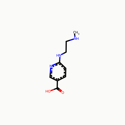 CNCCNc1ccc(C(=O)O)cn1